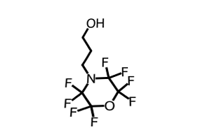 OCCCN1C(F)(F)C(F)(F)OC(F)(F)C1(F)F